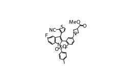 COC(=O)C1CN(c2ccc(F)c(-c3c(-c4ccsc4C#N)c4cc(F)ccc4n3S(=O)(=O)c3ccc(C)cc3)c2)C1